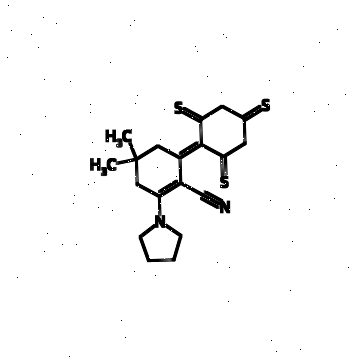 CC1(C)CC(=C2C(=S)CC(=S)CC2=S)C(C#N)=C(N2CCCC2)C1